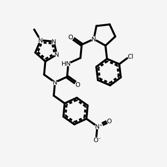 Cn1cc(CN(Cc2ccc([N+](=O)[O-])cc2)C(=O)NCC(=O)N2CCCC2c2ccccc2Cl)nn1